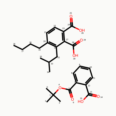 CC(C)(C)OC(=O)c1ccccc1C(=O)O.CCCCc1ccc(C(=O)O)c(C(=O)O)c1CC(C)C